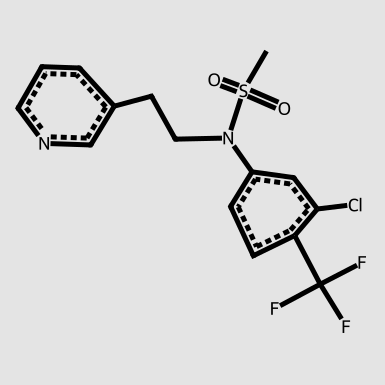 CS(=O)(=O)N(CCc1cccnc1)c1ccc(C(F)(F)F)c(Cl)c1